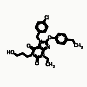 CCc1ccc(Oc2nc3c(c(=O)n(CCCO)c(=O)n3CC)n2Cc2ccc(Cl)cc2)cc1